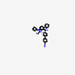 CCc1nc2c3c(-c4ccc(-c5ccc(C#N)cc5)cc4)nc4ccccc4c3ccc2n1-c1ccccc1